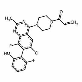 C=CC(=O)N1CCN(c2nc(C)nc3c(F)c(-c4c(O)cccc4F)c(Cl)cc23)CC1